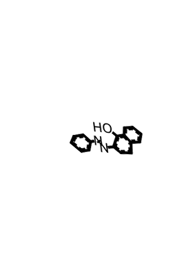 Oc1c(N=Nc2ccccc2)ccc2ccccc12